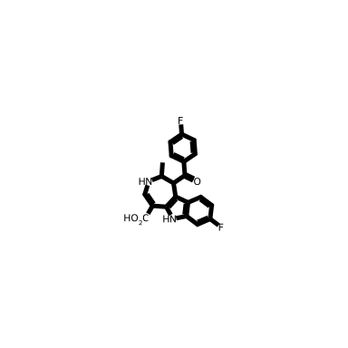 CC1NC=C(C(=O)O)c2[nH]c3cc(F)ccc3c2C1C(=O)c1ccc(F)cc1